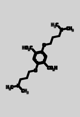 CN(C)CCCOc1cc(C(=O)O)c(OCCCN(C)C)cc1C(=O)O